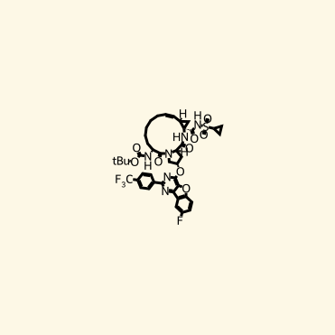 CC(C)(C)OC(=O)N[C@H]1CCCCC/C=C\[C@@H]2C[C@@]2(C(=O)NS(=O)(=O)C2CC2)NC(=O)[C@@H]2C[C@@H](Oc3nc(-c4ccc(C(F)(F)F)cc4)nc4c3oc3ccc(F)cc34)CN2C1=O